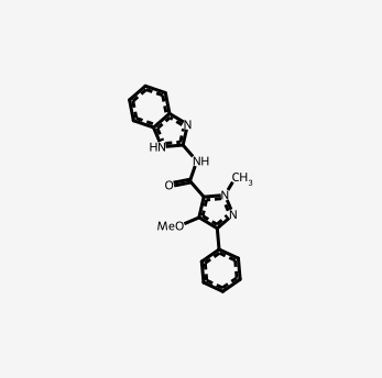 COc1c(-c2ccccc2)nn(C)c1C(=O)Nc1nc2ccccc2[nH]1